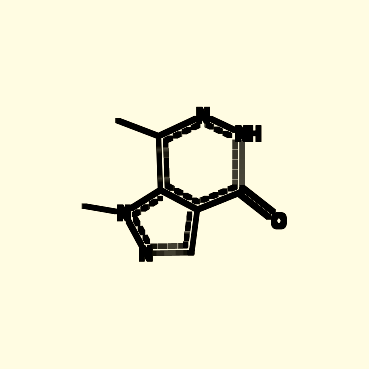 Cc1n[nH]c(=O)c2cnn(C)c12